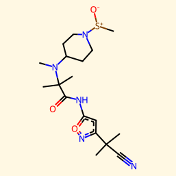 CN(C1CCN([S+](C)[O-])CC1)C(C)(C)C(=O)Nc1cc(C(C)(C)C#N)no1